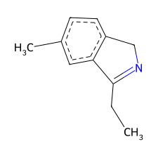 CCC1=NCc2ccc(C)cc21